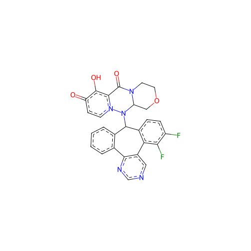 O=C1c2c(O)c(=O)ccn2N(C2c3ccccc3-c3ncncc3-c3c2ccc(F)c3F)C2COCCN12